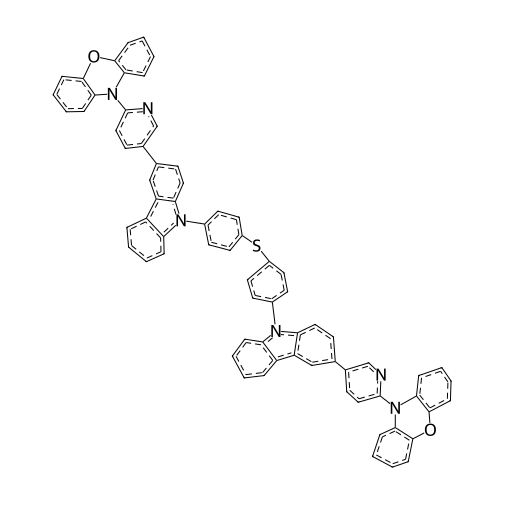 c1ccc2c(c1)Oc1ccccc1N2c1ccc(-c2ccc3c(c2)c2ccccc2n3-c2ccc(Sc3ccc(-n4c5ccccc5c5cc(-c6ccc(N7c8ccccc8Oc8ccccc87)nc6)ccc54)cc3)cc2)cn1